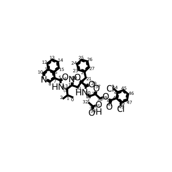 CC(C)[C@H](NC(=O)c1cncc2ccccc12)C1=NOC(Cc2ccccc2)(C(=O)N[C@@H](CC(=O)O)C(=O)COC(=O)c2c(Cl)cccc2Cl)C1